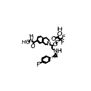 O=C(NO)c1ccc2c(c1)CN(C(=O)CN[C@H]1C[C@@H]1c1ccc(F)cc1)CC2.O=C(O)C(F)(F)F